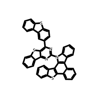 c1ccc2c(c1)sc1ccc(-c3nc(-n4c5ccccc5c5c6ccccc6c6sc7ccccc7c6c54)nc4c3sc3ccccc34)cc12